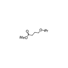 COC(=O)CCCOC(C)C